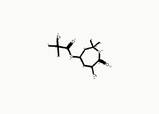 CCC(C)(C)C(=O)OC1CC(C#N)C(=O)OC(C)(C)C1